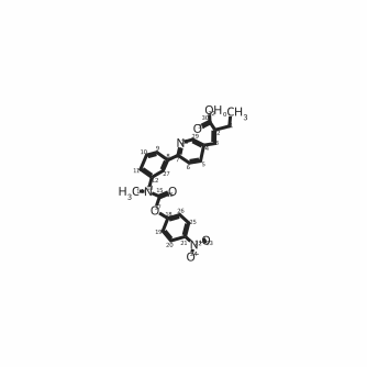 CC/C(=C/c1ccc(-c2cccc(N(C)C(=O)Oc3ccc([N+](=O)[O-])cc3)c2)nc1)C(=O)O